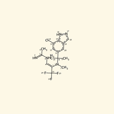 CC(=N)N/C=C(\N(C)C(C)(C)c1cc(Cl)c2[nH]ncc2c1)C(F)(F)F